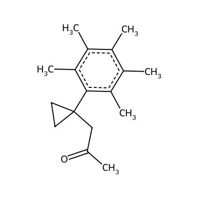 CC(=O)CC1(c2c(C)c(C)c(C)c(C)c2C)CC1